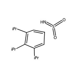 CC(C)c1cccc(C(C)C)c1C(C)C.N=S(=O)=O